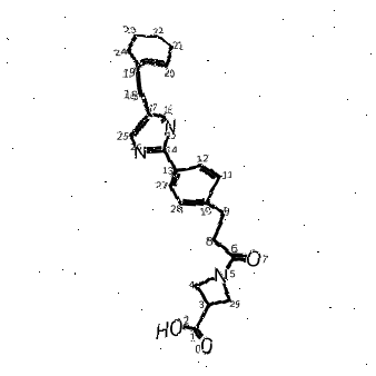 O=C(O)C1CN(C(=O)CCc2ccc(-c3ncc(CC4=CCCCC4)cn3)cc2)C1